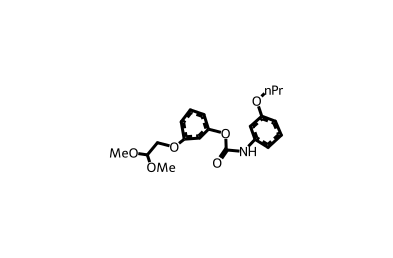 CCCOc1cccc(NC(=O)Oc2cccc(OCC(OC)OC)c2)c1